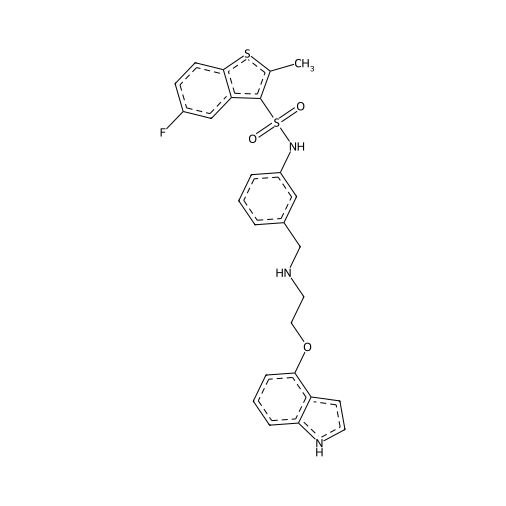 Cc1sc2ccc(F)cc2c1S(=O)(=O)Nc1cccc(CNCCOc2cccc3[nH]ccc23)c1